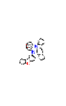 c1ccc(N(c2ccc3oc4ccccc4c3c2)c2c3ccccc3cc3c4ccccc4n(-c4ccccc4)c23)cc1